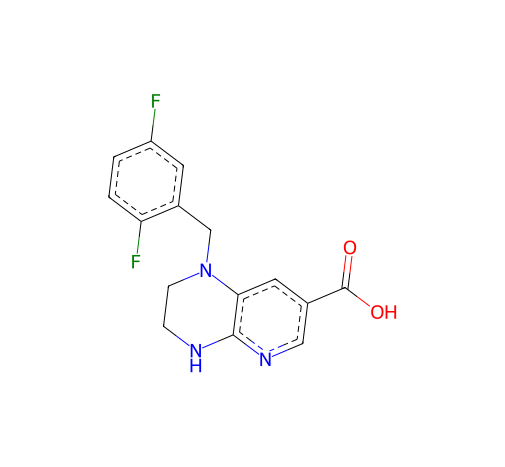 O=C(O)c1cnc2c(c1)N(Cc1cc(F)ccc1F)CCN2